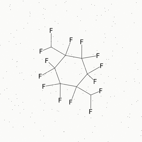 FC(F)C1(F)C(F)(F)C(F)(F)C(F)(C(F)F)C(F)(F)C1(F)F